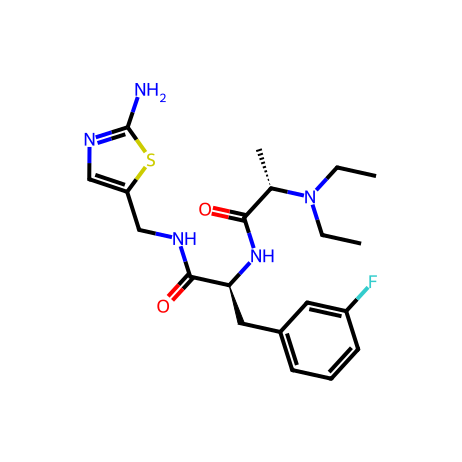 CCN(CC)[C@@H](C)C(=O)N[C@@H](Cc1cccc(F)c1)C(=O)NCc1cnc(N)s1